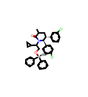 CC1C[C@H](c2cccc(Cl)c2)[C@@H](c2ccc(Cl)cc2)N(C(CO[Si](c2ccccc2)(c2ccccc2)C(C)(C)C)C2CC2)C1=O